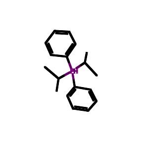 CC(C)[PH](c1ccccc1)(c1ccccc1)C(C)C